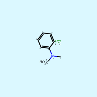 CN(C(=O)O)c1ccccc1.Cl